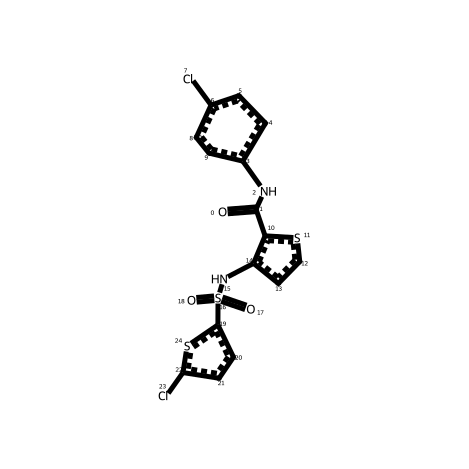 O=C(Nc1ccc(Cl)cc1)c1sccc1NS(=O)(=O)c1ccc(Cl)s1